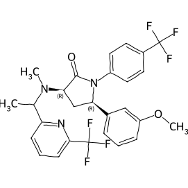 COc1cccc([C@H]2C[C@@H](N(C)C(C)c3cccc(C(F)(F)F)n3)C(=O)N2c2ccc(C(F)(F)F)cc2)c1